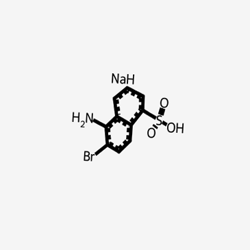 Nc1c(Br)ccc2c(S(=O)(=O)O)cccc12.[NaH]